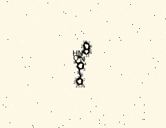 C(=C\c1ccc2c(c1)COC(N[C@@H]1CCc3ccccc31)=N2)/c1ccccc1